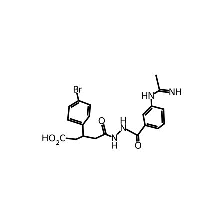 CC(=N)Nc1cccc(C(=O)NNC(=O)CC(CC(=O)O)c2ccc(Br)cc2)c1